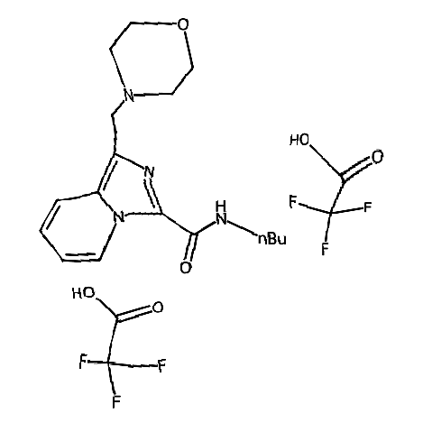 CCCCNC(=O)c1nc(CN2CCOCC2)c2ccccn12.O=C(O)C(F)(F)F.O=C(O)C(F)(F)F